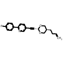 C=CCC[C@H]1CO[C@H](C#Cc2ccc(-c3ccc(F)cc3)nc2)OC1